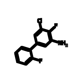 Nc1cc(-c2ccccc2F)cc(Cl)c1F